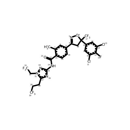 Cc1cc(C2=NOC(c3cc(Cl)c(F)c(Cl)c3)(C(F)(F)F)C2)ccc1C(=O)Nc1nc(CCC(F)(F)F)n(CC(F)(F)F)n1